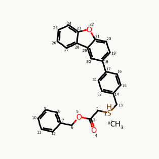 C[SH](CC(=O)OCc1ccccc1)Cc1ccc(-c2ccc3oc4ccccc4c3c2)cc1